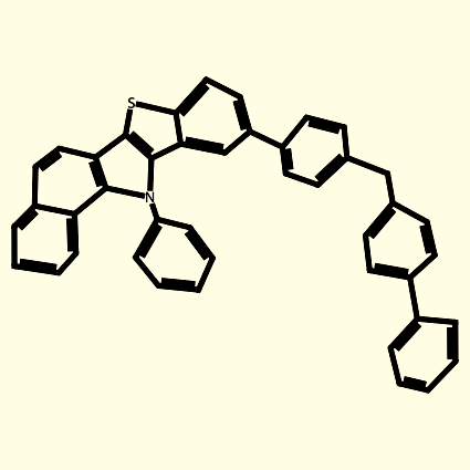 c1ccc(-c2ccc(Cc3ccc(-c4ccc5sc6c7ccc8ccccc8c7n(-c7ccccc7)c6c5c4)cc3)cc2)cc1